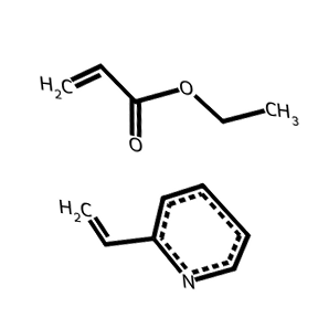 C=CC(=O)OCC.C=Cc1ccccn1